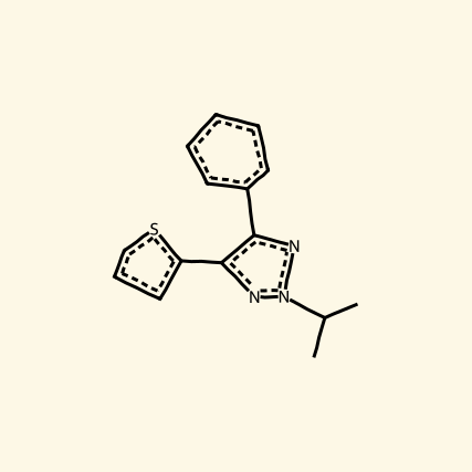 CC(C)n1nc(-c2ccccc2)c(-c2cccs2)n1